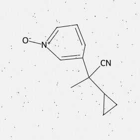 CC(C#N)(c1ccc[n+]([O-])c1)C1CC1